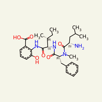 CC[C@@H](C)[C@H](NC(=O)[C@@H](Cc1ccccc1)N(C)C(=O)[C@@H](N)CC(C)C)C(=O)Nc1c(O)cccc1C(=O)O